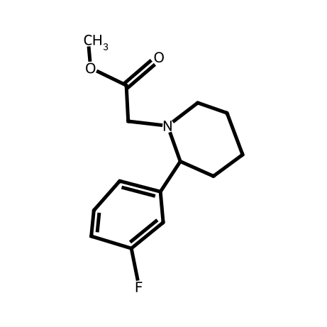 COC(=O)CN1CCCCC1c1cccc(F)c1